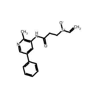 C=C[S+]([O-])CCC(=O)Nc1cc(-c2ccccc2)cnc1C